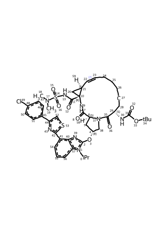 CC(C)n1c(O[C@@H]2C[C@H]3C(=O)N[C@]4(C(=O)NS(=O)(=O)N(C)C)C[C@H]4/C=C\CCCCC[C@H](NC(=O)OC(C)(C)C)C(=O)N3C2)nc2c(-c3nc(-c4ccc(Cl)cc4)cs3)cccc21